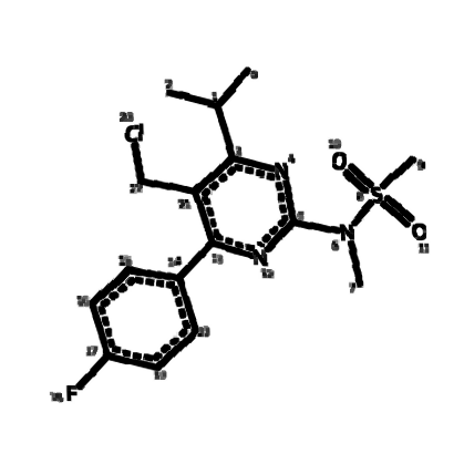 CC(C)c1nc(N(C)S(C)(=O)=O)nc(-c2ccc(F)cc2)c1CCl